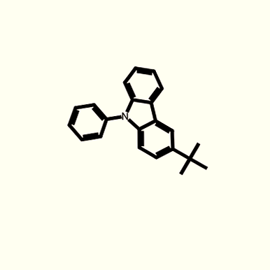 CC(C)(C)c1ccc2c(c1)c1ccccc1n2-c1ccccc1